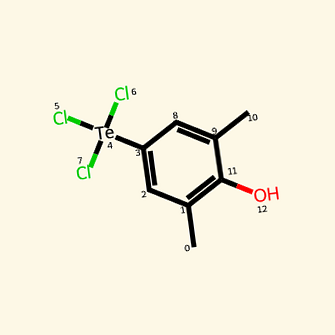 Cc1cc([Te](Cl)(Cl)Cl)cc(C)c1O